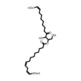 CCCCC/C=C\C/C=C\CCCCCCCC(=O)OC(CO)C(O)C(=O)CCCCCCC/C=C\CCCCCCCC